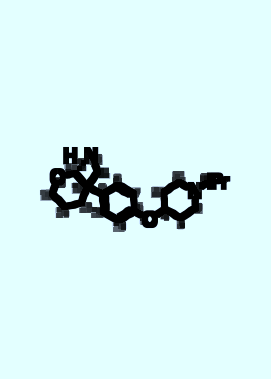 CC(C)N1CCC(Oc2ccc(C3(CN)CCCOC3)cc2)CC1